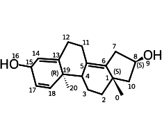 C[C@@]12CCC3C(=C1C[C@@H](O)C2)CCC1=CC(O)C=C[C@@]13C